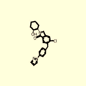 O=C1c2cc(Cc3ccc(-n4cccn4)cc3)c(Cl)cc2CN1[C@H]1CCCC[C@@H]1O